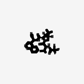 CC(C)[C@H](NC(=O)C(F)(F)F)C(=O)N1C[C@H]2[C@@H]([C@H]1C(=O)NC(C#N)c1cnnc3ccccc13)C2(C)C